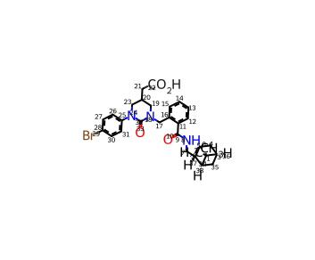 CC1(C)[C@H]2CC[C@@H](CNC(=O)c3ccccc3CN3CC(CC(=O)O)CN(c4ccc(Br)cc4)C3=O)[C@@H]1C2